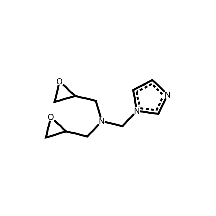 c1cn(CN(CC2CO2)CC2CO2)cn1